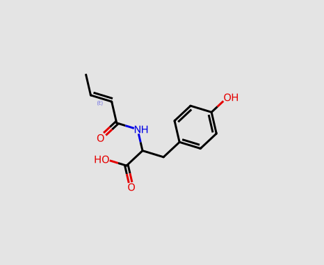 C/C=C/C(=O)NC(Cc1ccc(O)cc1)C(=O)O